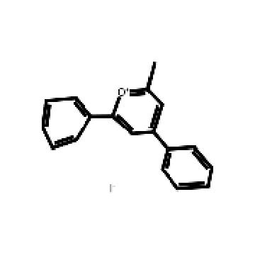 Cc1cc(-c2ccccc2)cc(-c2ccccc2)[o+]1.[I-]